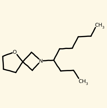 CCCCCC(CCC)N1CC2(CCCO2)C1